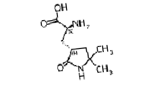 CC1(C)C[C@@H](C[C@H](N)C(=O)O)C(=O)N1